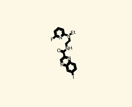 CCN(CCNC(=O)c1cnc2cc(I)ccc2n1)c1cccc(F)n1